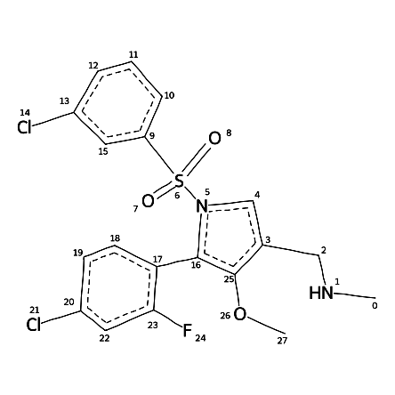 CNCc1cn(S(=O)(=O)c2cccc(Cl)c2)c(-c2ccc(Cl)cc2F)c1OC